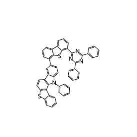 c1ccc(-c2nc(-c3ccccc3)nc(-c3cccc4c3sc3c(-c5ccc6c(c5)c5ccc7sc8ccccc8c7c5n6-c5ccccc5)cccc34)n2)cc1